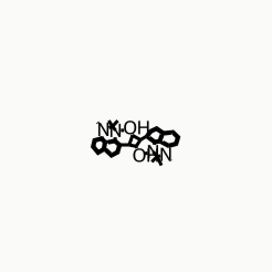 CN1c2cccc3ccc(C4C(O)C(c5ccc6cccc7c6c5N(C)C(C)(C)N7C)C4O)c(c23)N(C)C1(C)C